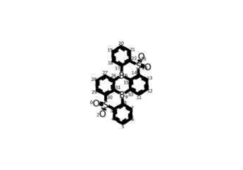 O=S1(=O)c2ccccc2B2c3cccc4c3B(c3ccccc3S4(=O)=O)c3cccc1c32